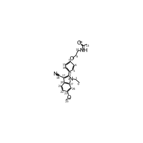 CCn1c(-c2ccc(OCCNC(C)=O)cc2)c(C#N)c2ccc(OC)cc21